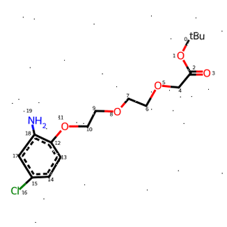 CC(C)(C)OC(=O)COCCOCCOc1ccc(Cl)cc1N